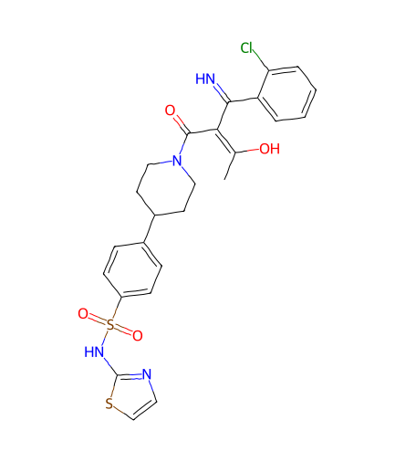 C/C(O)=C(/C(=N)c1ccccc1Cl)C(=O)N1CCC(c2ccc(S(=O)(=O)Nc3nccs3)cc2)CC1